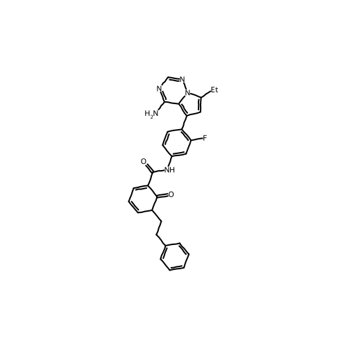 CCc1cc(-c2ccc(NC(=O)C3=CC=CC(CCc4ccccc4)C3=O)cc2F)c2c(N)ncnn12